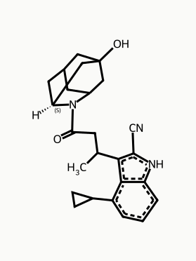 CC(CC(=O)N1C2CC3C[C@H]1CC(O)(C3)C2)c1c(C#N)[nH]c2cccc(C3CC3)c12